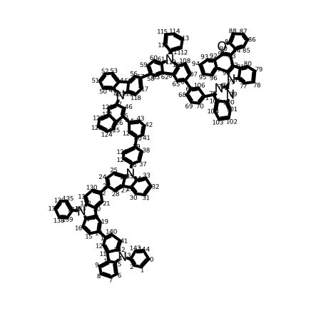 c1ccc(-n2c3ccccc3c3cc(-c4ccc5c(c4)c4cc(-c6ccc7c(c6)c6ccccc6n7-c6ccc(-c7cccc(-c8cc(-n9c%10ccccc%10c%10cc(-c%11ccc%12c(c%11)c%11cc(-c%13cccc(-c%14nc(-n%15c%16ccccc%16c%16c%17c%18ccccc%18oc%17c%17ccccc%17c%16%15)nc%15ccccc%14%15)c%13)ccc%11n%12-c%11ccccc%11)ccc%109)cc9ccccc89)c7)cc6)ccc4n5-c4ccccc4)ccc32)cc1